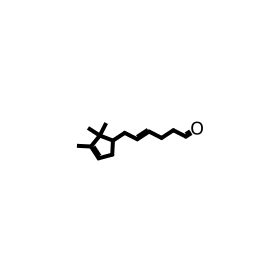 CC1=CCC(C/C=C/CCC=O)C1(C)C